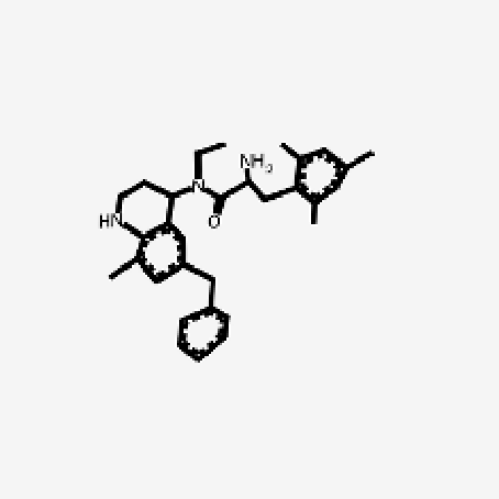 CCN(C(=O)C(N)Cc1c(C)cc(C)cc1C)C1CCNc2c(C)cc(Cc3ccccc3)cc21